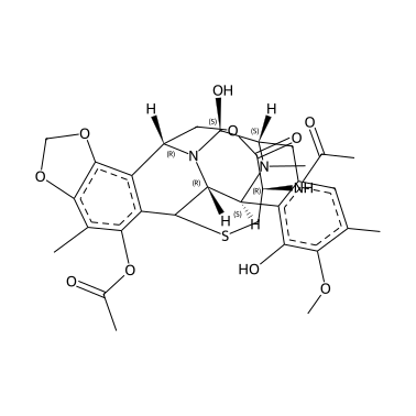 COc1c(C)cc2c(c1O)[C@H]1[C@@H]3C4SC[C@H](NC(C)=O)C(=O)OC[C@@H](c5c6c(c(C)c(OC(C)=O)c54)OCO6)N3[C@@H](O)[C@H](C2)N1C